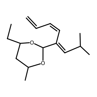 C=C/C=C\C(=C/C(C)C)C1OC(C)CC(CC)O1